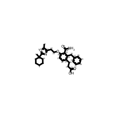 Cc1oc(C2(C)CCCCC2)nc1CCOc1ccc(CCC(=O)O)c(Cc2ccccc2)c1C(N)=O